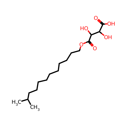 CC(C)CCCCCCCCCCOC(=O)C(O)C(O)C(=O)O